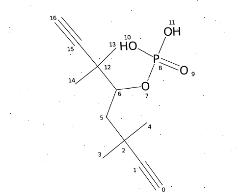 C#CC(C)(C)CC(OP(=O)(O)O)C(C)(C)C#C